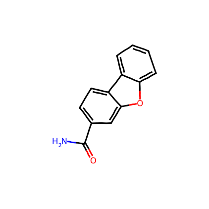 NC(=O)c1ccc2c(c1)oc1ccccc12